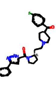 O=C(c1ccc(F)cc1)C1CCN(CC[C@@H]2CCCN2C(=O)c2cc(-c3ccccc3)n[nH]2)CC1